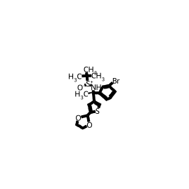 CC(C)(C)[S+]([O-])N[C@](C)(c1cccc(Br)c1)c1csc(C2OCCO2)c1